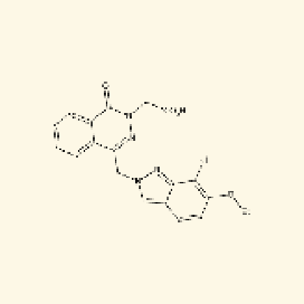 CCOc1ccc2cn(Cc3nn(CC(=O)O)c(=O)c4ccccc34)nc2c1Cl